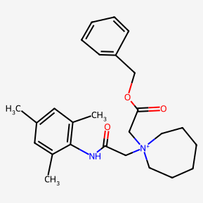 Cc1cc(C)c(NC(=O)C[N+]2(CC(=O)OCc3ccccc3)CCCCCC2)c(C)c1